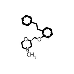 CN1CCO[C@@H](COc2ccccc2CCc2ccccc2)C1